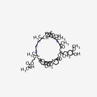 CNC(=O)OCCOC1C[C@@H]2CC[C@@H](C)[C@@](O)(O2)C(=O)C(=O)N2CCCC[C@H]2C(=O)O[C@H]([C@H](C)C[C@@H]2CC[C@@H](O)[C@H](OC)C2)CC(=O)[C@H](C)/C=C(\C)[C@@H](O)[C@@H](OC)C(=O)[C@H](C)C[C@H](C)/C=C/C=C/C=C/1C